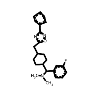 CN(C)C(c1cccc(F)c1)C1CCC(Cc2nc(-c3ccccc3)no2)CC1